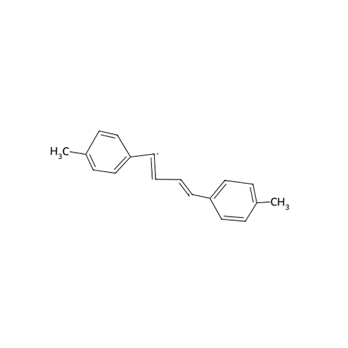 Cc1ccc([C]=CC=[C]c2ccc(C)cc2)cc1